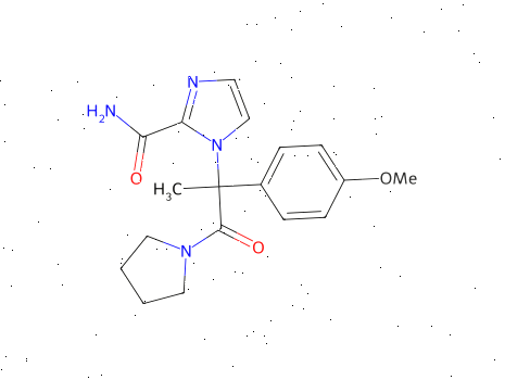 COc1ccc(C(C)(C(=O)N2CCCC2)n2c[c]nc2C(N)=O)cc1